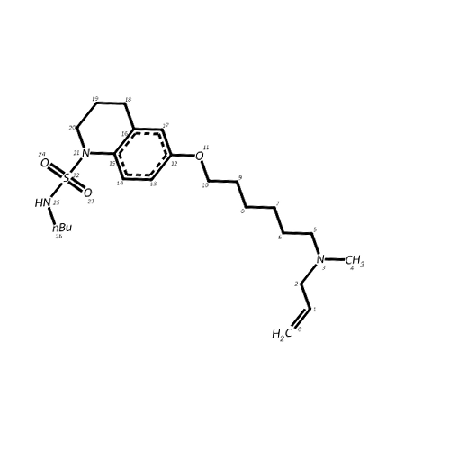 C=CCN(C)CCCCCCOc1ccc2c(c1)CCCN2S(=O)(=O)NCCCC